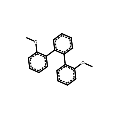 COc1ccccc1-c1[c]cccc1-c1ccccc1OC